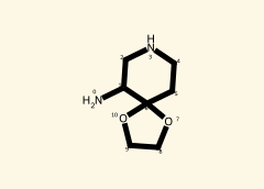 NC1CNCCC12OCCO2